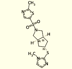 Cc1ncc(S(=O)(=O)N2C[C@H]3C[C@H](Sc4nccn4C)C[C@H]3C2)s1